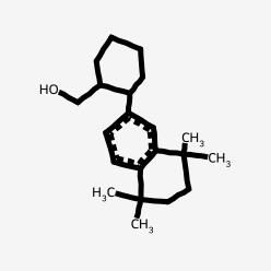 CC1(C)CCC(C)(C)c2cc(C3CCCCC3CO)ccc21